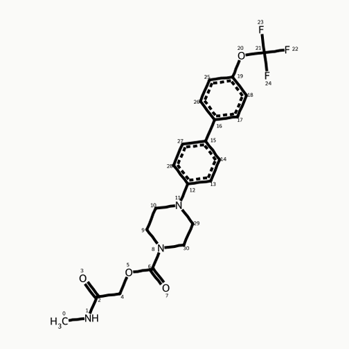 CNC(=O)COC(=O)N1CCN(c2ccc(-c3ccc(OC(F)(F)F)cc3)cc2)CC1